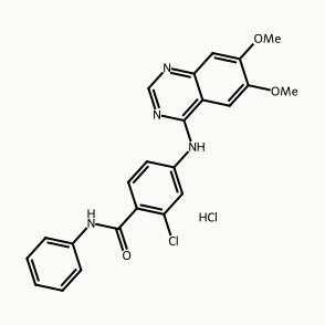 COc1cc2ncnc(Nc3ccc(C(=O)Nc4ccccc4)c(Cl)c3)c2cc1OC.Cl